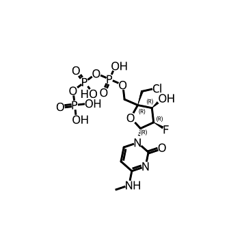 CNc1ccn([C@@H]2O[C@](CCl)(COP(=O)(O)OP(=O)(O)OP(=O)(O)O)[C@@H](O)[C@H]2F)c(=O)n1